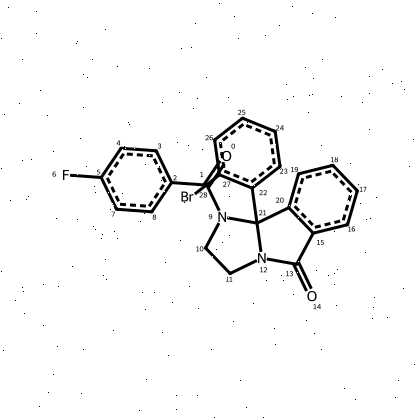 O=C(c1ccc(F)cc1)N1CCN2C(=O)c3ccccc3C12c1ccccc1Br